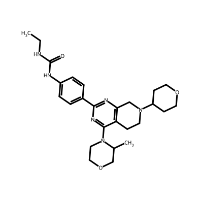 CCNC(=O)Nc1ccc(-c2nc3c(c(N4CCOCC4C)n2)CCN(C2CCOCC2)C3)cc1